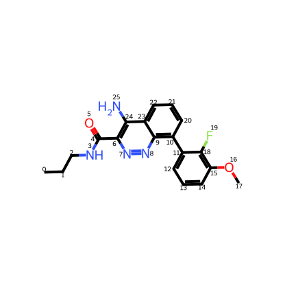 CCCNC(=O)c1nnc2c(-c3cccc(OC)c3F)cccc2c1N